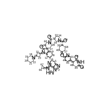 CC(C)n1cnc2cc(-c3ccc4c(c3)N([C@H]3C[C@@H](N5CCCCC5)C3)C(=O)C43CCN(C(=O)[C@@H]4CCN(C(=O)[C@H]5CC[C@H](Oc6ccc(C7CCC(=O)NC7=O)cn6)CC5)C4)CC3)nc(NC3CC3)c21